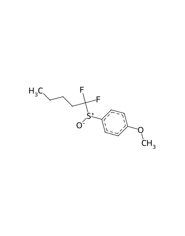 CCCCC(F)(F)[S+]([O-])c1ccc(OC)cc1